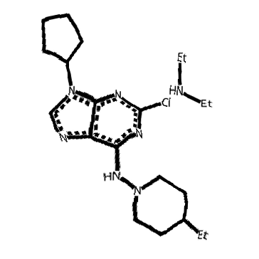 CCC1CCN(Nc2nc(Cl)nc3c2ncn3C2CCCC2)CC1.CCNCC